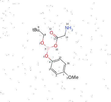 COc1ccc(OB(OCC(C)(C)C)OC(=O)CN)cc1